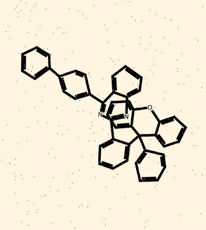 c1ccc(-c2ccc(-c3nc(-c4ccccc4C4(c5ccccc5)c5ccccc5Oc5ccccc54)nc4ccccc34)cc2)cc1